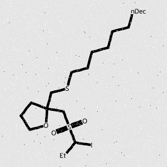 CCCCCCCCCCCCCCCCSCC1(CS(=O)(=O)C(I)CC)CCCO1